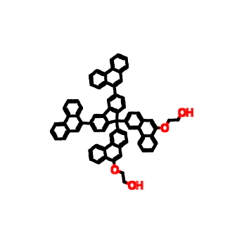 OCCOc1cc2ccc(C3(c4ccc5cc(OCCO)c6ccccc6c5c4)c4ccc(-c5cc6ccccc6c6ccccc56)cc4-c4cc(-c5cc6ccccc6c6ccccc56)ccc43)cc2c2ccccc12